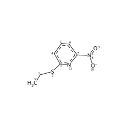 CCSc1cccc([N+](=O)[O-])n1